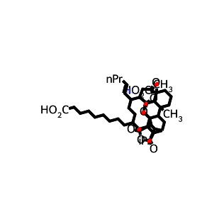 CCC/C=C/C(CCC(CCCCCCCCC(=O)O)CC1C(C(C)C)C2CC3C4(C)CCCC(C)(C(=O)O)C4CCC13C1C(=O)OC(=O)C21)C1CC(=O)OC1=O